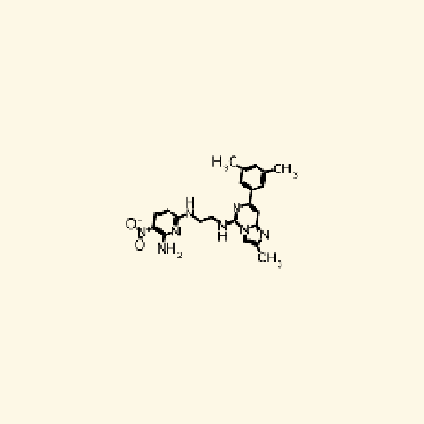 Cc1cc(C)cc(-c2cc3nc(C)cn3c(NCCNc3ccc([N+](=O)[O-])c(N)n3)n2)c1